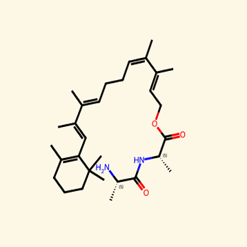 CC(=CCCC=C(C)C(C)=CC1=C(C)CCCC1(C)C)C(C)=CCOC(=O)[C@H](C)NC(=O)[C@H](C)N